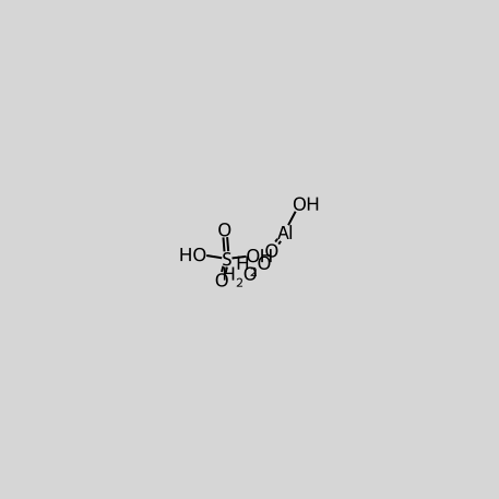 O.O.O=S(=O)(O)O.[O]=[Al][OH]